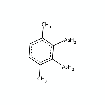 Cc1ccc(C)c([AsH2])c1[AsH2]